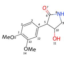 COc1ccc(C2C(=O)NCC2O)cc1OC